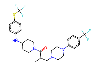 CC(CN1CCN(c2ccc(C(F)(F)F)cc2)CC1)C(=O)N1CCC(Nc2ccc(SC(F)(F)F)cc2)CC1